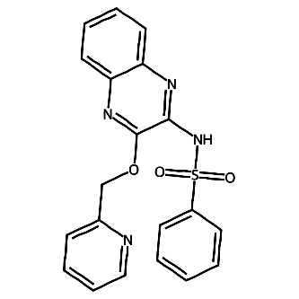 O=S(=O)(Nc1nc2ccccc2nc1OCc1ccccn1)c1ccccc1